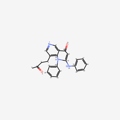 CC(=O)CCc1cncc2c(=O)cc(Nc3ccccc3)n(-c3ccccc3)c12